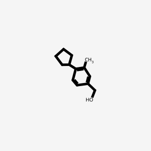 Cc1cc(CO)ccc1C1CCCC1